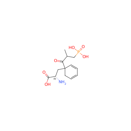 CC(CP(=O)(O)O)C(=O)C1(C[C@H](N)C(=O)O)C=CC=CC1